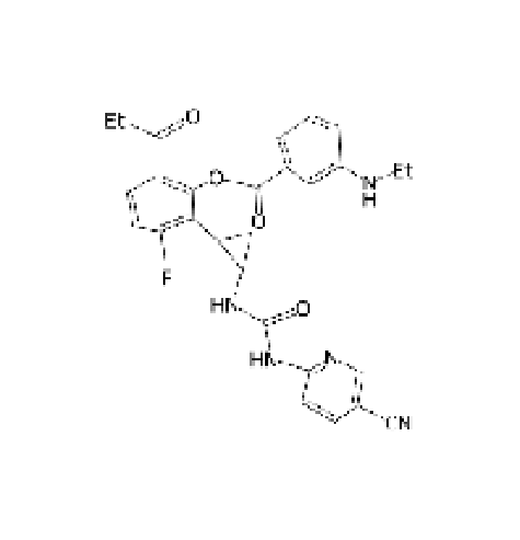 CCNc1cccc(C(=O)Oc2c(C(=O)CC)ccc(F)c2C2CC2NC(=O)Nc2ccc(C#N)cn2)c1